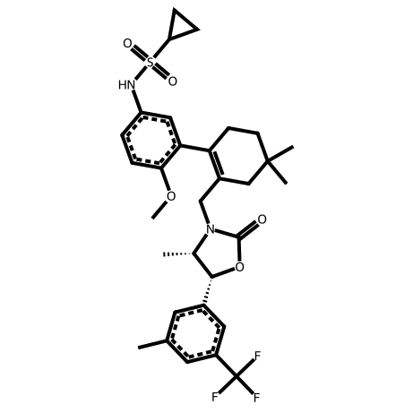 COc1ccc(NS(=O)(=O)C2CC2)cc1C1=C(CN2C(=O)O[C@H](c3cc(C)cc(C(F)(F)F)c3)[C@@H]2C)CC(C)(C)CC1